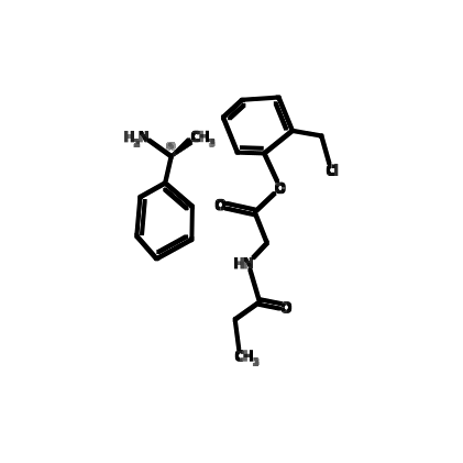 CCC(=O)NCC(=O)Oc1ccccc1CCl.C[C@H](N)c1ccccc1